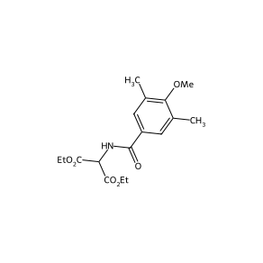 CCOC(=O)C(NC(=O)c1cc(C)c(OC)c(C)c1)C(=O)OCC